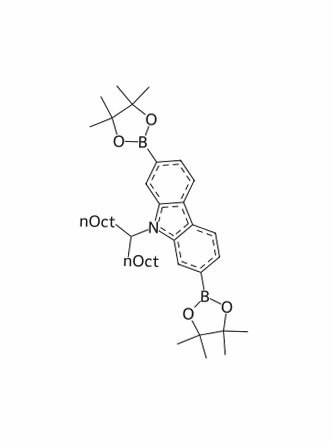 CCCCCCCCC(CCCCCCCC)n1c2cc(B3OC(C)(C)C(C)(C)O3)ccc2c2ccc(B3OC(C)(C)C(C)(C)O3)cc21